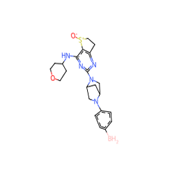 Bc1ccc(N2CC3CC2CN3c2nc3c(c(NC4CCOCC4)n2)[S+]([O-])CC3)cc1